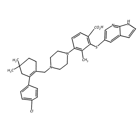 Cc1c(N2CCN(CC3=C(c4ccc(Cl)cc4)CC(C)(C)CC3)CC2)ccc(C(=O)O)c1Sc1cnc2[nH]ccc2c1